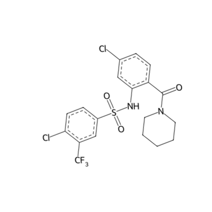 O=C(c1ccc(Cl)cc1NS(=O)(=O)c1ccc(Cl)c(C(F)(F)F)c1)N1CCCCC1